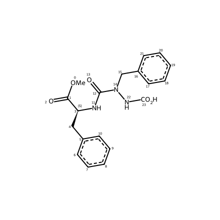 COC(=O)[C@H](Cc1ccccc1)NC(=O)N(Cc1ccccc1)NC(=O)O